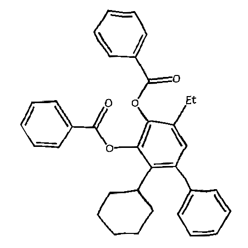 CCc1cc(-c2ccccc2)c(C2CCCCC2)c(OC(=O)c2ccccc2)c1OC(=O)c1ccccc1